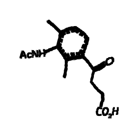 CC(=O)Nc1c(C)ccc(C(=O)CCC(=O)O)c1C